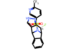 O=S(=O)(c1ccc(C(F)(F)F)nc1)N1C2c3ccccc3C1[C@@H](F)c1n[nH]cc12